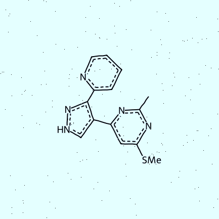 CSc1cc(-c2c[nH]nc2-c2ccccn2)nc(C)n1